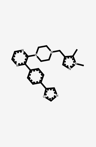 Cc1c(CN2CCN(c3nccnc3-c3ccc(-c4cnco4)cc3)CC2)cnn1C